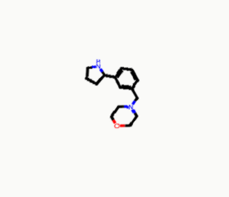 c1cc(CN2CCOCC2)cc(C2CCCN2)c1